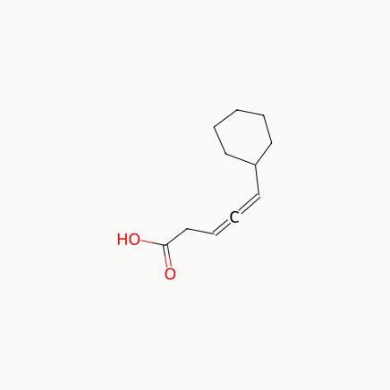 O=C(O)CC=C=CC1CCCCC1